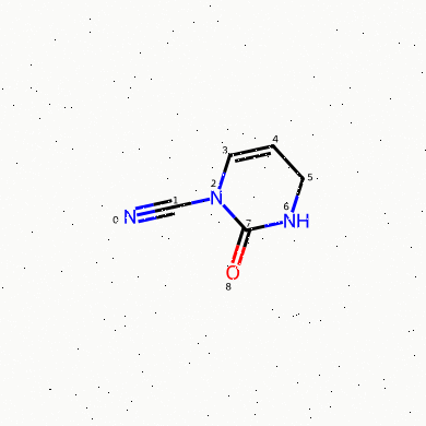 N#CN1C=CCNC1=O